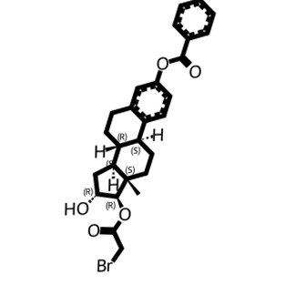 C[C@]12CC[C@@H]3c4ccc(OC(=O)c5ccccc5)cc4CC[C@H]3[C@@H]1C[C@@H](O)[C@@H]2OC(=O)CBr